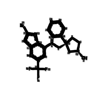 O[C@H]1CC[C@](CNc2cc(C(F)(F)F)nc3cc(Br)nn23)(c2ccncc2)C1